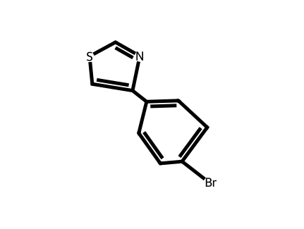 Brc1ccc(-c2cscn2)cc1